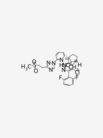 CC1(C)[C@H]2CC[C@]1(c1cccc(-n3cnc(CCS(C)(=O)=O)n3)n1)c1nnc(-c3c(F)cccc3F)c(Cl)c12